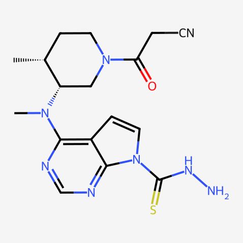 C[C@@H]1CCN(C(=O)CC#N)C[C@@H]1N(C)c1ncnc2c1ccn2C(=S)NN